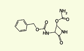 NC(=O)OC1NC(=O)C1NC(=O)OCc1ccccc1